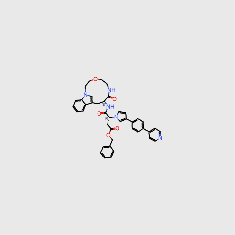 O=C(C[C@H](C(=O)N[C@H]1Cc2cn(c3ccccc23)CCOCCNC1=O)n1ccc(-c2ccc(-c3ccncc3)cc2)c1)OCc1ccccc1